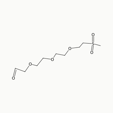 CS(=O)(=O)CCOCCOCCOCC=O